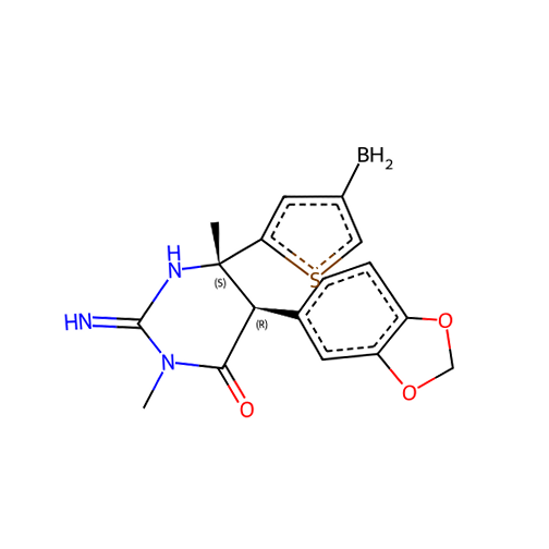 Bc1csc([C@@]2(C)NC(=N)N(C)C(=O)[C@@H]2c2ccc3c(c2)OCO3)c1